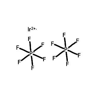 F[P-](F)(F)(F)(F)F.F[P-](F)(F)(F)(F)F.[Ir+2]